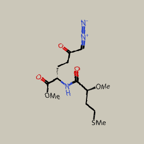 COC(=O)[C@H](CCC(=O)C=[N+]=[N-])NC(=O)[C@H](CCSC)OC